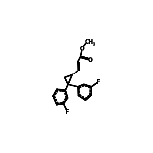 COC(=O)/C=C/[C@H]1CC1(c1cccc(F)c1)c1cccc(F)c1